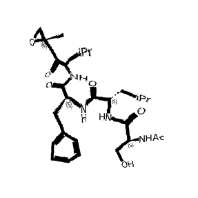 CC(=O)N[C@@H](CO)C(=O)N[C@@H](CC(C)C)C(=O)N[C@@H](Cc1ccccc1)C(=O)NC(C(=O)[C@@]1(C)CO1)C(C)C